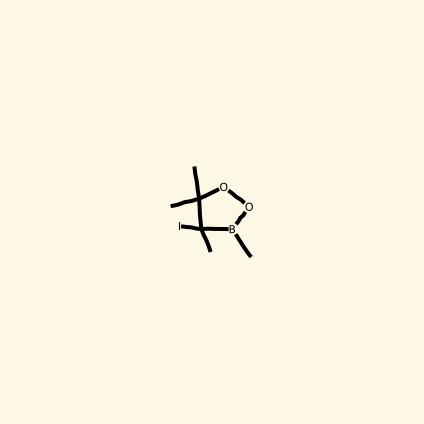 CB1OOC(C)(C)C1(C)I